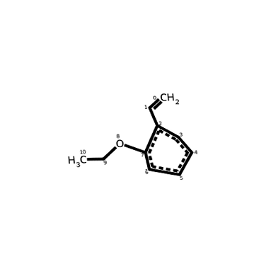 C=Cc1ccc[c]c1OCC